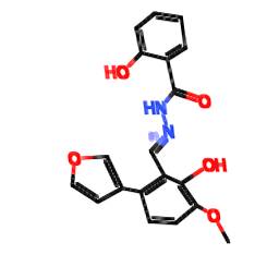 COc1ccc(-c2ccoc2)c(/C=N/NC(=O)c2ccccc2O)c1O